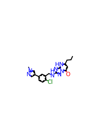 CCCc1cc(=O)n2nc(NCc3cc(-c4cnn(C)c4)ccc3Cl)nc2[nH]1